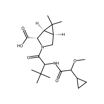 COC(C(=O)NC(C(=O)N1C[C@H]2[C@@H]([C@H]1C(=O)O)C2(C)C)C(C)(C)C)C1CC1